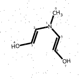 CN(C=CO)C=CO